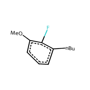 CCCCc1cccc(OC)c1F